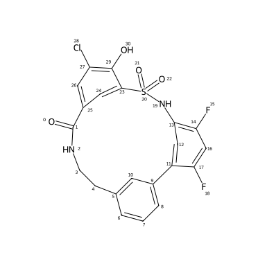 O=C1NCCc2cccc(c2)-c2cc(c(F)cc2F)NS(=O)(=O)c2cc1cc(Cl)c2O